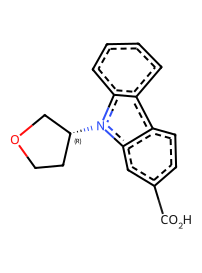 O=C(O)c1ccc2c3ccccc3n([C@@H]3CCOC3)c2c1